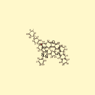 c1ccc(-c2ccc(-c3ccc(-c4nc(-c5ccccc5)nc(-c5ccc(-n6c7ccccc7c7cc8ccccc8cc76)c(-c6cccc7oc8cc9ccccc9cc8c67)c5)n4)cc3)cc2)cc1